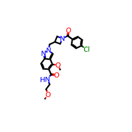 COCCNC(=O)c1ccc2nn(CC3CN(C(=O)c4ccc(Cl)cc4)C3)cc2c1OC